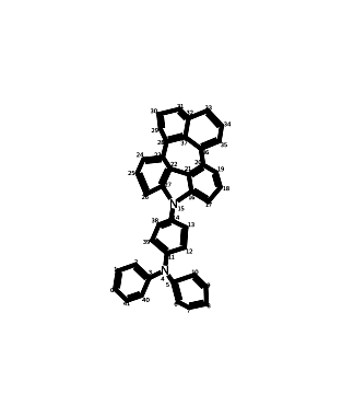 c1ccc(N(c2ccccc2)c2ccc(-n3c4cccc5c4c4c(cccc43)-c3cccc4cccc-5c34)cc2)cc1